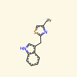 CC(C)c1csc(Cc2c[nH]c3ccccc23)n1